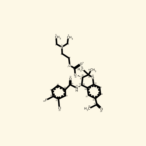 CCN(CC)CCOC(=O)O[C@H]1[C@@H](NC(=O)c2ccc(F)c(Cl)c2)c2cc(C(C)=O)ccc2OC1(C)C